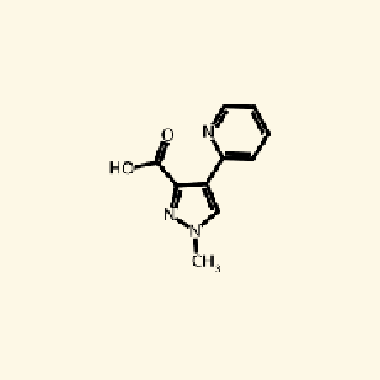 Cn1cc(-c2ccccn2)c(C(=O)O)n1